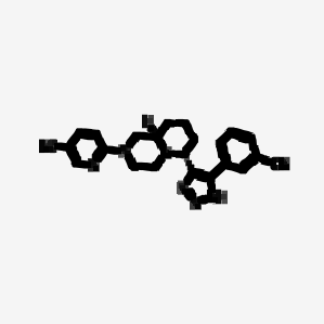 N#Cc1ccc(N2CCN3[C@@H](CCC[C@@H]3c3nn[nH]c3-c3cccc(C#N)c3)C2)nc1